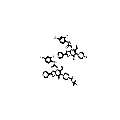 CCc1c(N2CCN(C(=O)OC(C)(C)C)CC2)c(=O)n2nc(C3=CCOCC3)nc2n1CC(=O)Nc1ccc(Br)cc1Cl.CCc1c(N2CCNCC2)c(=O)n2nc(C3=CCOCC3)nc2n1CC(=O)Nc1ccc(Br)cc1Cl